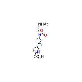 CC(=O)NC[C@H]1CN(c2ccc(-c3ccc(C(=O)O)nc3)c(F)c2)C(=O)O1